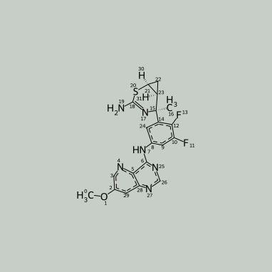 COc1cnc2c(Nc3cc(F)c(F)c([C@@]4(C)N=C(N)S[C@H]5C[C@H]54)c3)ncnc2c1